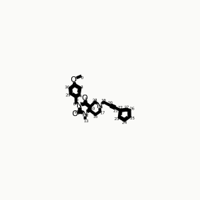 COc1ccc(Cn2c(=O)c3c(n(C)c2=O)CCN(CC#Cc2ccccc2)C3)cc1